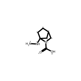 NNC12CCC(CN1C(=O)O)C2